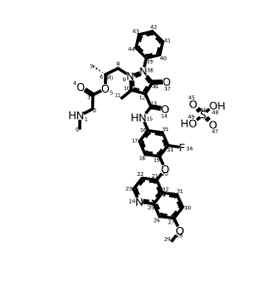 CNCC(=O)O[C@H](C)Cn1c(C)c(C(=O)Nc2ccc(Oc3ccnc4cc(OC)ccc34)c(F)c2)c(=O)n1-c1ccccc1.O=S(=O)(O)O